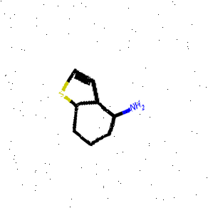 NC1CCCC2SC=CC12